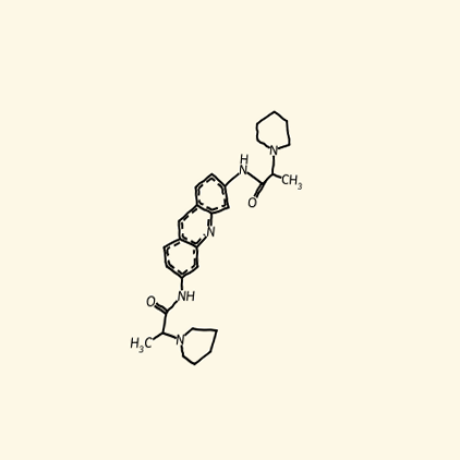 CC(C(=O)Nc1ccc2cc3ccc(NC(=O)C(C)N4CCCCC4)cc3nc2c1)N1CCCCC1